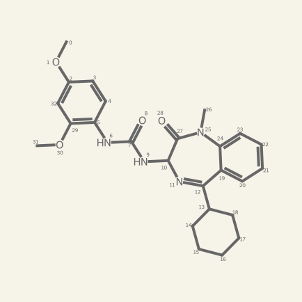 COc1ccc(NC(=O)NC2N=C(C3CCCCC3)c3ccccc3N(C)C2=O)c(OC)c1